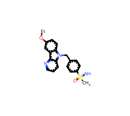 CCOc1ccc2c(c1)c1ncccc1n2Cc1ccc(S(C)(=N)=O)cc1